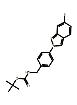 CC(C)(C)OC(=O)NCc1ccc(-n2cc3ccc(Br)cc3n2)cc1